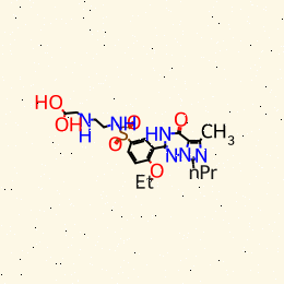 CCCc1nc(C)c2c(=O)[nH]c(-c3cc(S(=O)(=O)NCCNCC(O)O)ccc3OCC)nn12